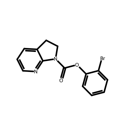 O=C(Oc1ccccc1Br)N1CCc2cccnc21